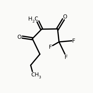 C=C(C(=O)CCC)C(=O)C(F)(F)F